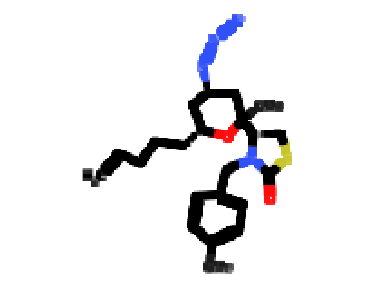 C=CCCC[C@@H]1C[C@@H](N=[N+]=[N-])C[C@](OC)([C@@H]2CSC(=O)N2Cc2ccc(OC)cc2)O1